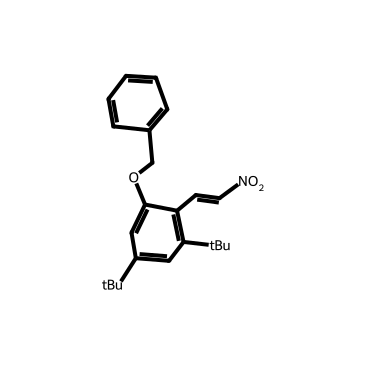 CC(C)(C)c1cc(OCc2ccccc2)c(C=C[N+](=O)[O-])c(C(C)(C)C)c1